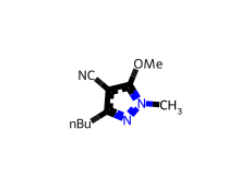 CCCCc1nn(C)c(OC)c1C#N